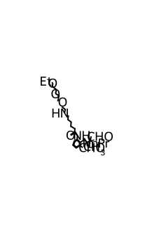 CCCC(C=O)N(C)Cc1c(C=O)cccc1NC(=O)CCCCCNCCOCCOCCOCC